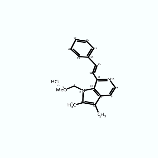 COCn1c(C)c(C)c2ccnc(C=Cc3ccccc3)c21.Cl